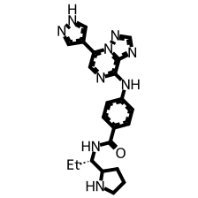 CC[C@H](NC(=O)c1ccc(Nc2ncc(-c3cn[nH]c3)n3ncnc23)cc1)C1CCCN1